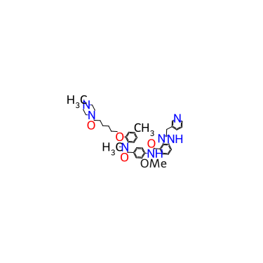 COc1cc(C(=O)N(C)c2ccc(C)cc2OCCCCCC(=O)N2CCN(C)CC2)ccc1NC(=O)c1cccc2[nH]c(Cc3cccnc3)nc12